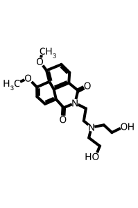 COc1ccc2c3c(ccc(OC)c13)C(=O)N(CCN(CCO)CCO)C2=O